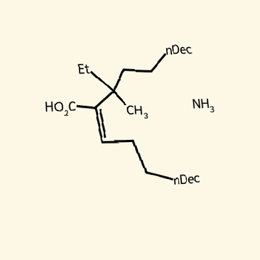 CCCCCCCCCCCCC=C(C(=O)O)C(C)(CC)CCCCCCCCCCCC.N